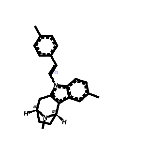 Cc1ccc(/C=C/n2c3c(c4cc(C)ccc42)[C@@H]2CC[C@H](C3)N2C)cc1